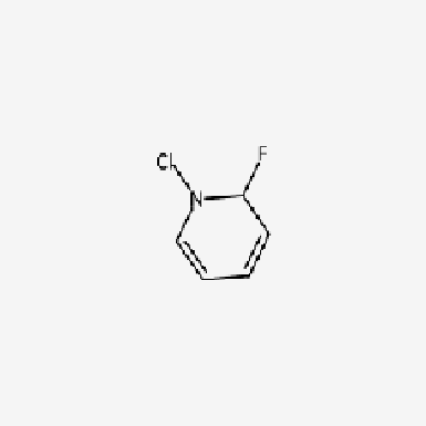 FC1C=CC=CN1Cl